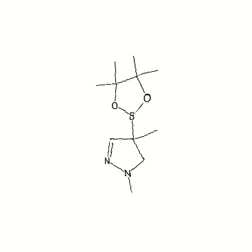 CN1CC(C)(B2OC(C)(C)C(C)(C)O2)C=N1